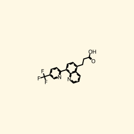 O=C(O)CCc1ccc(-c2ccc(C(F)(F)F)cn2)c2ncccc12